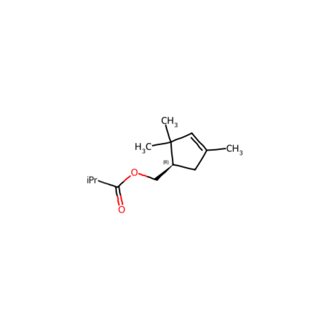 CC1=CC(C)(C)[C@H](COC(=O)C(C)C)C1